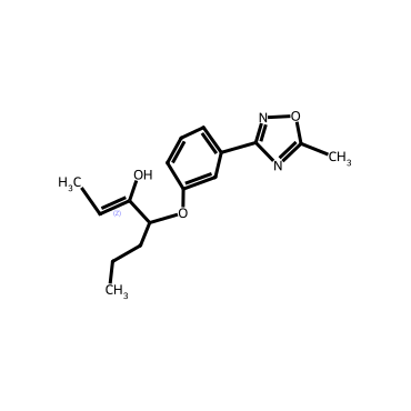 C/C=C(\O)C(CCC)Oc1cccc(-c2noc(C)n2)c1